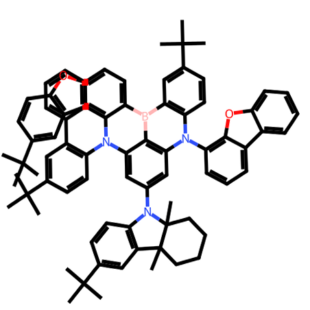 CC(C)(C)c1ccc2c(c1)B1c3ccc4oc5ccc(C(C)(C)C)cc5c4c3N(c3ccc(C(C)(C)C)cc3-c3ccccc3)c3cc(N4c5ccc(C(C)(C)C)cc5C5(C)CCCCC45C)cc(c31)N2c1cccc2c1oc1ccccc12